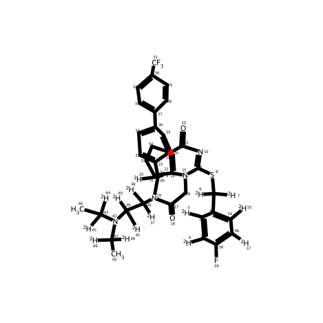 [2H]c1c([2H])c(C([2H])([2H])Sc2nc(=O)c3c(n2CC(=O)N(C([2H])([2H])c2ccc(-c4ccc(C(F)(F)F)cc4)cc2)C([2H])([2H])C([2H])([2H])N(C([2H])([2H])C)C([2H])([2H])C)CCC3)c([2H])c([2H])c1F